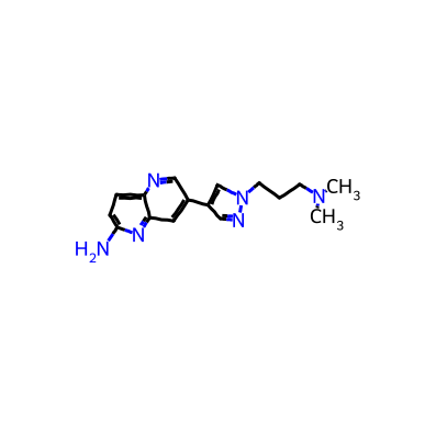 CN(C)CCCn1cc(-c2cnc3ccc(N)nc3c2)cn1